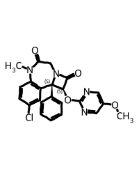 COc1cnc(O[C@@H]2C(=O)N3CC(=O)N(C)c4ccc(Cl)cc4[C@@]23c2ccccc2)nc1